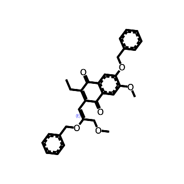 CCC1=C(/C=C(\COC)OCc2ccccc2)C(=O)c2cc(OC)c(OCc3ccccc3)cc2C1=O